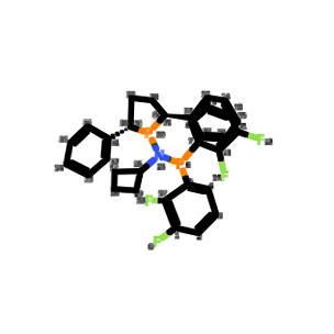 Fc1cccc(P(c2cccc(F)c2F)N(C2CCC2)P2[C@H](c3ccccc3)CC[C@H]2c2ccccc2)c1F